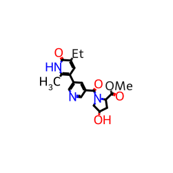 CCc1cc(-c2cncc(C(=O)N3CC(O)CC3C(=O)OC)c2)c(C)[nH]c1=O